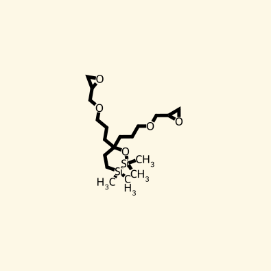 C[Si]1(C)CCC(CCCOCC2CO2)(CCCOCC2CO2)O[Si]1(C)C